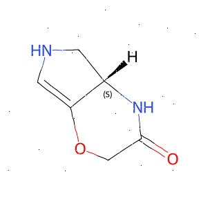 O=C1COC2=CNC[C@@H]2N1